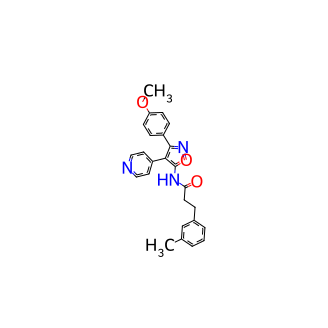 COc1ccc(-c2noc(NC(=O)CCc3cccc(C)c3)c2-c2ccncc2)cc1